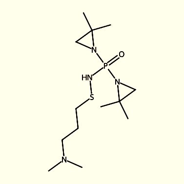 CN(C)CCCSNP(=O)(N1CC1(C)C)N1CC1(C)C